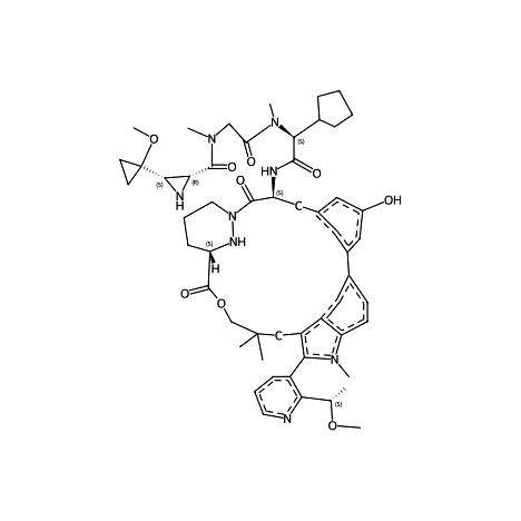 CO[C@@H](C)c1ncccc1-c1c2c3cc(ccc3n1C)-c1cc(O)cc(c1)C[C@H](NC(=O)[C@H](C1CCCC1)N(C)C(=O)CN(C)C(=O)[C@@H]1N[C@@H]1C1(OC)CC1)C(=O)N1CCC[C@H](N1)C(=O)OCC(C)(C)C2